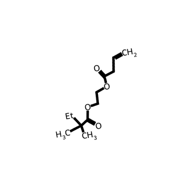 C=CCC(=O)OCCOC(=O)C(C)(C)CC